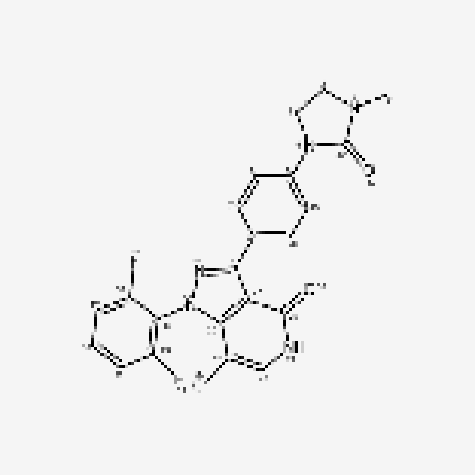 CN1CCN(c2ccc(-c3nn(-c4c(F)cccc4F)c4c(Cl)c[nH]c(=O)c34)cc2)C1=O